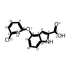 O=C(O)c1cc2c(Oc3cccc(Cl)n3)cccc2[nH]1